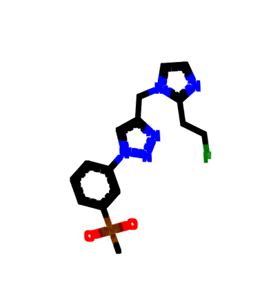 CS(=O)(=O)c1cccc(-n2cc(Cn3ccnc3CCF)nn2)c1